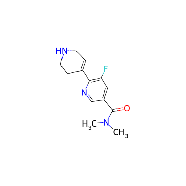 CN(C)C(=O)c1cnc(C2=CCNCC2)c(F)c1